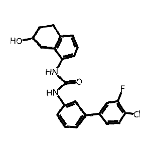 O=C(Nc1cccc(-c2ccc(Cl)c(F)c2)c1)Nc1cccc2c1CC(O)CC2